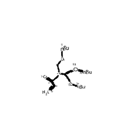 C=CC(=O)N(COCCCC)C(OCCCC)OCCCC